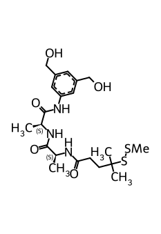 CSSC(C)(C)CCC(=O)N[C@@H](C)C(=O)N[C@@H](C)C(=O)Nc1cc(CO)cc(CO)c1